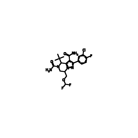 CC(C)(C)C1c2c(C(N)=O)c(-c3ccc(F)c(Cl)c3)nn2C(COC(F)F)CN1C(N)=O